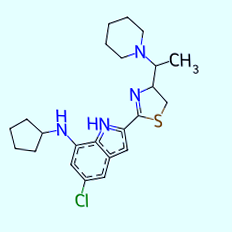 CC(C1CSC(c2cc3cc(Cl)cc(NC4CCCC4)c3[nH]2)=N1)N1CCCCC1